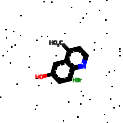 Br.O=C(O)c1ccnc2ccc(O)cc12